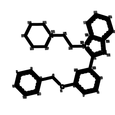 c1ccc(COc2cccc(-c3nc4ccccc4n3CCN3CCCCC3)c2)cc1